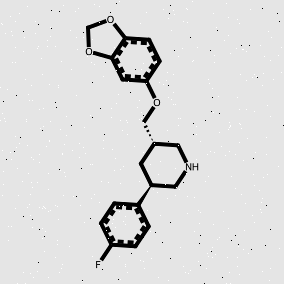 Fc1ccc([C@@H]2CNC[C@@H](COc3ccc4c(c3)OCO4)C2)cc1